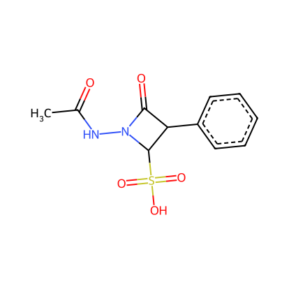 CC(=O)NN1C(=O)C(c2ccccc2)C1S(=O)(=O)O